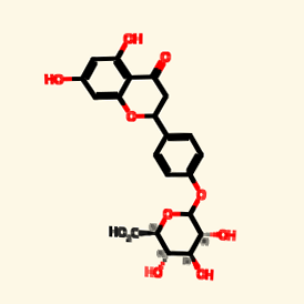 O=C1CC(c2ccc(OC3O[C@H](C(=O)O)[C@@H](O)[C@H](O)[C@H]3O)cc2)Oc2cc(O)cc(O)c21